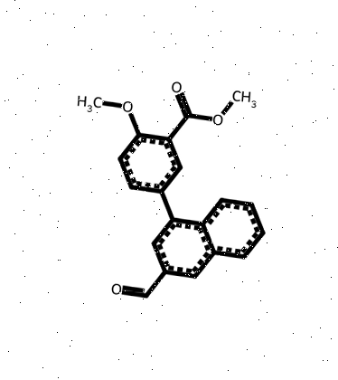 COC(=O)c1cc(-c2cc(C=O)cc3ccccc23)ccc1OC